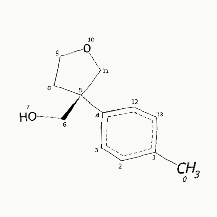 Cc1ccc([C@]2(CO)CCOC2)cc1